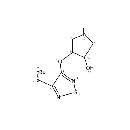 CCCCSc1nsnc1OC1CNCC1O